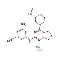 CN[C@@H]1CCCN(c2nc(Nc3cc(N)cc(C#N)c3)nc3c2CCC3)C1.Cl.Cl